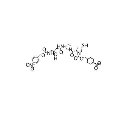 O=C(CC(O)CNC(=O)OCc1ccc([N+](=O)[O-])cc1)N[C@H]1CCN(C(=O)[C@@H]2C[C@H](S)CN2C(=O)OCc2ccc([N+](=O)[O-])cc2)C1